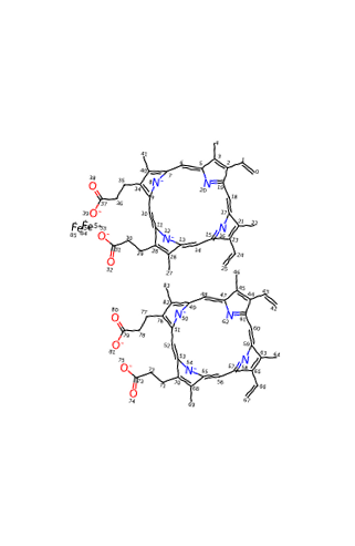 C=CC1=C(C)c2cc3[n-]c(cc4[n-]c(cc5nc(cc1n2)C(C)=C5C=C)c(C)c4CCC(=O)[O-])c(CCC(=O)[O-])c3C.C=CC1=C(C)c2cc3[n-]c(cc4[n-]c(cc5nc(cc1n2)C(C)=C5C=C)c(C)c4CCC(=O)[O-])c(CCC(=O)[O-])c3C.[Fe+5].[Fe+5]